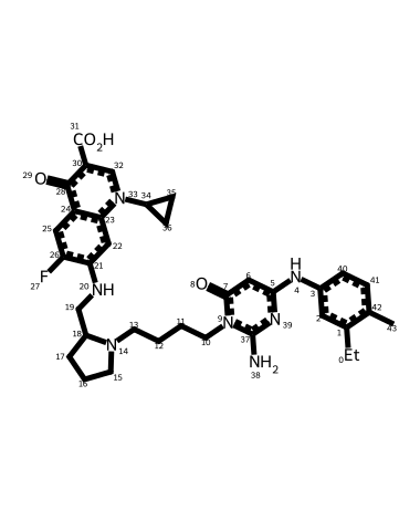 CCc1cc(Nc2cc(=O)n(CCCCN3CCCC3CNc3cc4c(cc3F)c(=O)c(C(=O)O)cn4C3CC3)c(N)n2)ccc1C